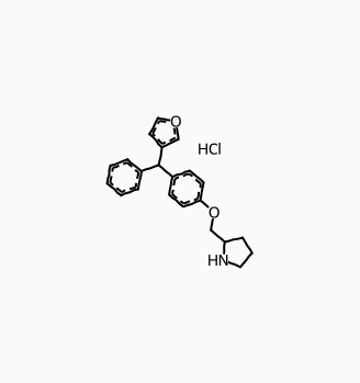 Cl.c1ccc(C(c2ccc(OCC3CCCN3)cc2)c2ccoc2)cc1